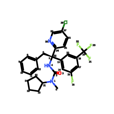 CN(C(=O)N[C@@](Cc1ccccc1)(c1cc(F)cc(C(F)(F)F)c1)c1ccc(Cl)cn1)C1CCCC1